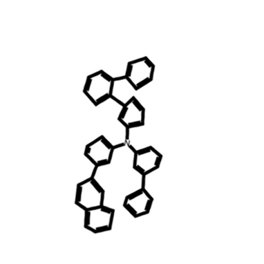 c1ccc(-c2cccc(N(c3cccc(-c4ccc5ccccc5c4)c3)c3cccc(-c4ccccc4-c4ccccc4)c3)c2)cc1